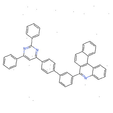 c1ccc(-c2cc(-c3ccc(-c4cccc(-c5nc6ccccc6c6c5ccc5ccccc56)c4)cc3)nc(-c3ccccc3)n2)cc1